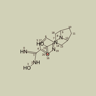 N=C(NO)c1ccc(N2C3CCC2CN(C(=O)O)C3)nc1